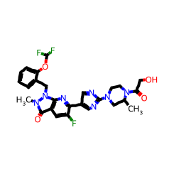 CC1CN(c2ncc(-c3nc4c(cc3F)c(=O)n(C)n4Cc3ccccc3OC(F)F)cn2)CCN1C(=O)CO